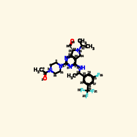 CC(=O)N1CCN(c2nc(NC(C)c3cc(F)cc(C(F)(F)F)c3)c3c(n2)[C@H](C=O)N(C(C)C)C3)CC1